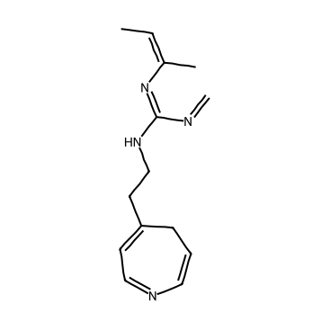 C=N/C(=N\C(C)=C/C)NCCC1=CC=NC=CC1